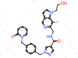 O=C(NCc1ncc2ccn(CCO)c2c1F)c1cnn(Cc2ccc(Cn3ccccc3=O)cc2)c1